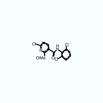 COc1nc(Cl)ccc1C(=O)Nc1c(Cl)cccc1Cl